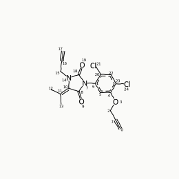 C#CCOc1cc(N2C(=O)C(=C(C)C)N(CC#C)C2=O)c(Cl)cc1Cl